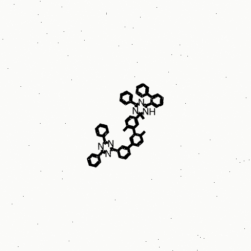 Cc1ccc(C2(C)N=C(c3ccccc3)N=C(c3ccccc3-c3ccccc3)N2)cc1C1C=C(C2=CC(c3nc(-c4ccccc4)nc(-c4ccccc4)n3)CC=C2)C=CC1C